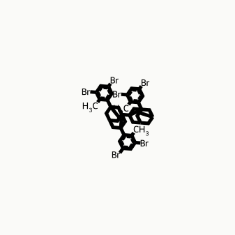 Cc1c(Br)cc(Br)cc1C12CC3CC(C1)CC(C14CC5CC(c6cc(Br)cc(Br)c6C)(CC(c6cc(Br)cc(Br)c6C)(C5)C1)C4)(C3)C2